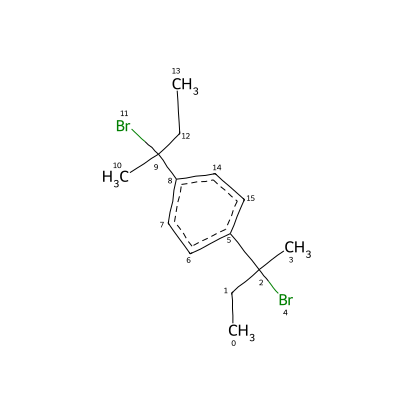 CCC(C)(Br)c1ccc(C(C)(Br)CC)cc1